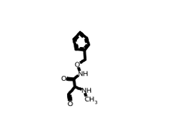 CNC(C=O)C(=O)NOCc1ccccc1